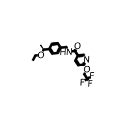 CCO[C@@H](C)c1ccc(CNC(=O)c2ccc(OCC(F)(F)F)nc2)cc1